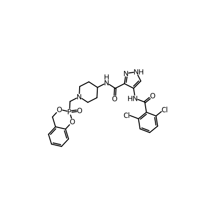 O=C(NC1CCN(CP2(=O)OCc3ccccc3O2)CC1)c1n[nH]cc1NC(=O)c1c(Cl)cccc1Cl